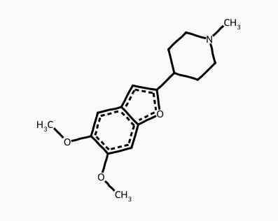 COc1cc2cc(C3CCN(C)CC3)oc2cc1OC